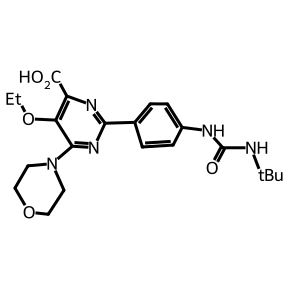 CCOc1c(C(=O)O)nc(-c2ccc(NC(=O)NC(C)(C)C)cc2)nc1N1CCOCC1